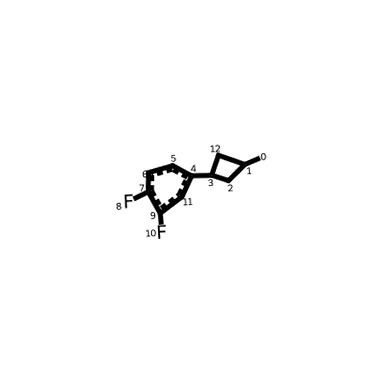 CC1CC(c2ccc(F)c(F)c2)C1